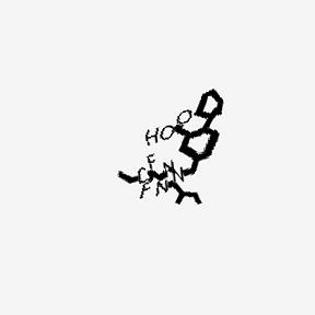 CCCC(F)(F)c1nc(C(C)CC)n(Cc2ccc(-c3ccccc3)c(C(=O)O)c2)n1